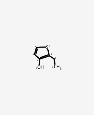 CCc1sccc1O